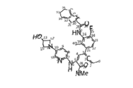 CC=C=C(/C=C(/Nc1ccc(N2CC(O)C2)cn1)C(=O)NC)c1ccc(F)c(NC(=O)c2cc3c(s2)=CCCC=3)c1C